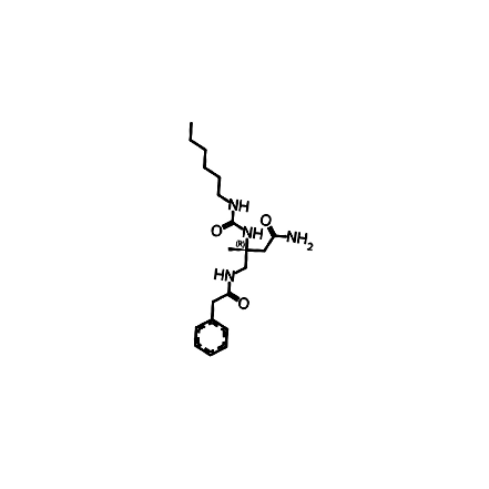 CCCCCCNC(=O)N[C@@](C)(CNC(=O)Cc1ccccc1)CC(N)=O